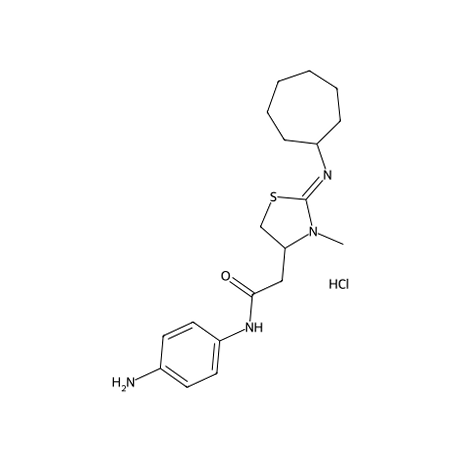 CN1C(=NC2CCCCCC2)SCC1CC(=O)Nc1ccc(N)cc1.Cl